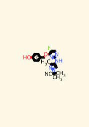 Cc1nn(C(C)(C)C#N)cc1Nc1ncc(F)c(OCC23CCC(O)(CC2)CC3)n1